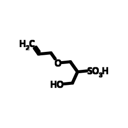 C=CCOCC(CO)S(=O)(=O)O